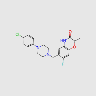 CC1Oc2cc(F)c(CN3CCN(c4ccc(Cl)cc4)CC3)cc2NC1=O